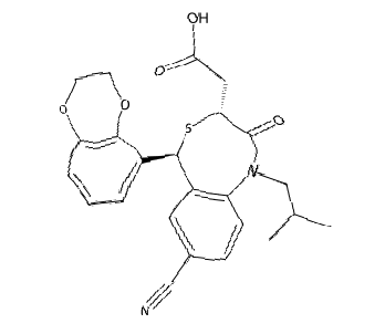 CC(C)CN1C(=O)[C@@H](CC(=O)O)S[C@H](c2cccc3c2OCCO3)c2cc(C#N)ccc21